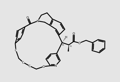 C[C@H](C(=O)OCc1ccccc1)[C@H]1c2ccc(nc2)OCCCCCc2ccc(cc2)C(=O)N2CCc3ccc1cc3C2